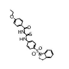 CCOc1ccc(C(=O)NC(=S)Nc2ccc(S(=O)(=O)N3CCc4ccccc43)cc2)cc1